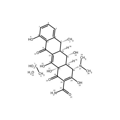 CC(=O)O.C[C@H]1c2cccc(O)c2C(=O)C2=C(O)[C@]3(O)C(=O)C(C(N)=O)=C(O)[C@@H](N(C)C)[C@@H]3[C@@H](O)[C@@H]21.O